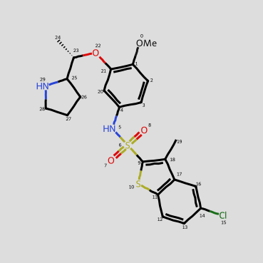 COc1ccc(NS(=O)(=O)c2sc3ccc(Cl)cc3c2C)cc1O[C@@H](C)C1CCCN1